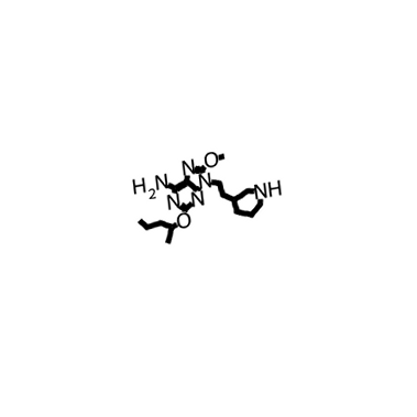 CCCC(C)Oc1nc(N)c2nc(OC)n(CCC3CCCNC3)c2n1